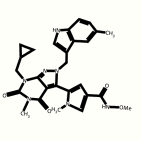 CONC(=O)c1cc(-c2c3c(=O)n(C)c(=O)n(CC4CC4)c3nn2Cc2c[nH]c3ccc(C)cc23)n(C)c1